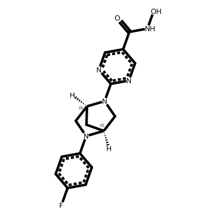 O=C(NO)c1cnc(N2C[C@@H]3C[C@H]2CN3c2ccc(F)cc2)nc1